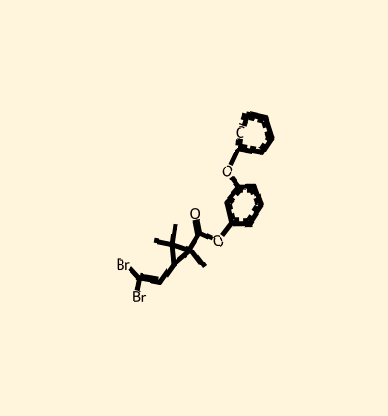 CC1(C)C(C=C(Br)Br)C1(C)C(=O)Oc1cccc(Oc2ccccc2)c1